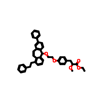 CCOC(=O)C(Cc1ccc(OCCOC2c3ccc(-c4ccccc4)cc3C=Cc3c(CCc4ccccc4)cccc32)cc1)OC